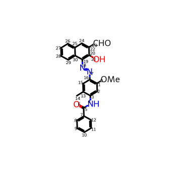 COc1cc(NC(=O)c2ccccc2)c(C)cc1/N=N/c1c(O)c(C=O)cc2ccccc12